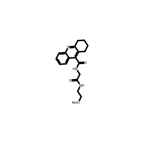 COCCNC(=O)CNC(=O)c1c2c(nc3ccccc13)CCCC2